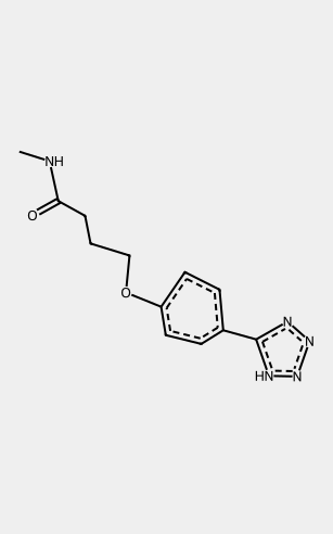 CNC(=O)CCCOc1ccc(-c2nnn[nH]2)cc1